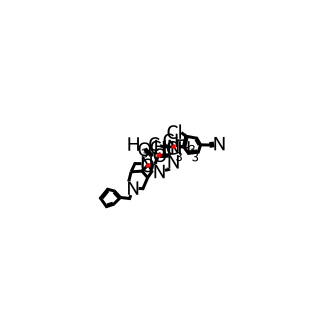 Cc1c(Nc2ccc(C#N)cc2Cl)ncnc1OC1C2CN(Cc3ccccc3)CC1CN(C(=O)OC(C)(C)C)C2